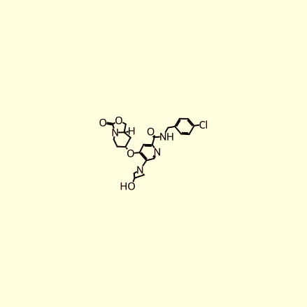 O=C(NCc1ccc(Cl)cc1)c1cc(O[C@H]2CCN3C(=O)OC[C@@H]3C2)c(N2CC(O)C2)cn1